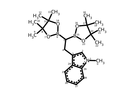 Cn1cc(CC(B2OC(C)(C)C(C)(C)O2)B2OC(C)(C)C(C)(C)O2)c2ccccc21